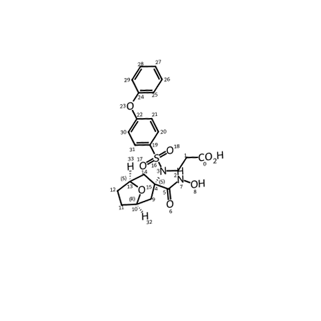 O=C(O)CCN([C@]1(C(=O)NO)C[C@H]2CC[C@@H](C1)O2)S(=O)(=O)c1ccc(Oc2ccccc2)cc1